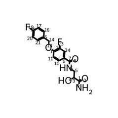 NC(=O)C(O)CNC(=O)c1ccc(OCc2ccc(F)cc2)c(F)c1